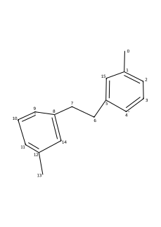 Cc1cc[c]c(CCc2[c]ccc(C)c2)c1